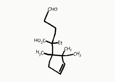 CCC(CCC=O)(C(=O)O)C1(C)CC=CC1(C)C